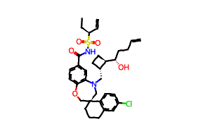 C=CCC[C@H](O)[C@@H]1CC[C@H]1CN1C[C@@]2(CCCc3cc(Cl)ccc32)COc2ccc(C(=O)NS(=O)(=O)[C@H](C=C)CC)cc21